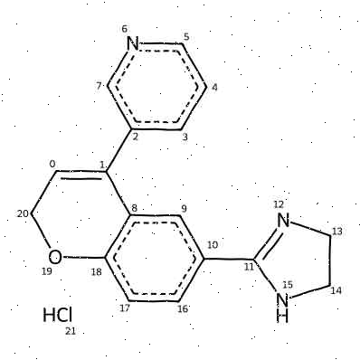 C1=C(c2cccnc2)c2cc(C3=NCCN3)ccc2OC1.Cl